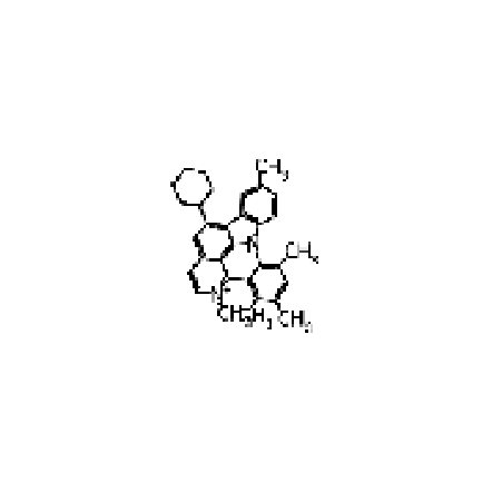 Cc1ccc2c(c1)c1c(C3CCCCC3)cc3cc[n+](C)c4c5c(C)c(C)cc(C)c5n2c1c34